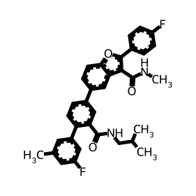 CNC(=O)c1c(-c2ccc(F)cc2)oc2ccc(-c3ccc(-c4cc(C)cc(F)c4)c(C(=O)NCC(C)C)c3)cc12